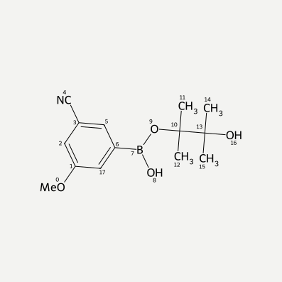 COc1cc(C#N)cc(B(O)OC(C)(C)C(C)(C)O)c1